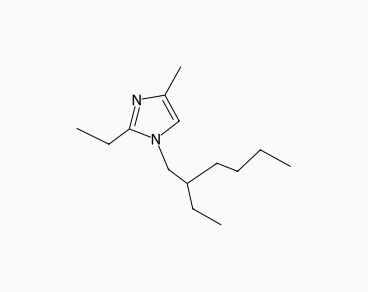 CCCCC(CC)Cn1cc(C)nc1CC